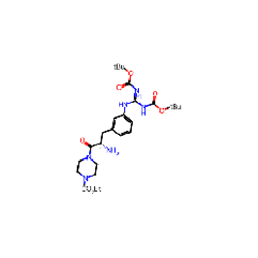 CCOC(=O)N1CCN(C(=O)[C@@H](N)Cc2cccc(N/C(=N\C(=O)OC(C)(C)C)NC(=O)OC(C)(C)C)c2)CC1